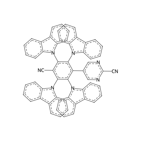 N#Cc1ncc(-c2c(-n3c4ccccc4c4ccccc43)c(-n3c4ccccc4c4ccccc43)c(C#N)c(-n3c4ccccc4c4ccccc43)c2-n2c3ccccc3c3ccccc32)cn1